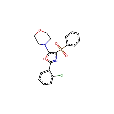 O=S(=O)(c1ccccc1)c1nc(-c2ccccc2Cl)oc1N1CCOCC1